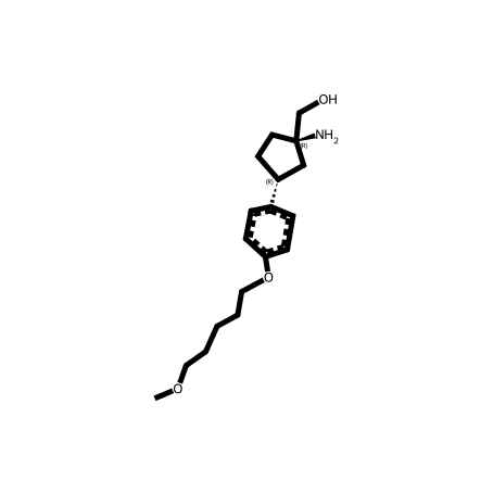 COCCCCCOc1ccc([C@@H]2CC[C@](N)(CO)C2)cc1